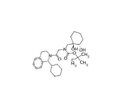 CC(C)(C)OC(=O)N(CC(=O)N1CCc2ccccc2C1C1CCCCC1)C[C@]1(O)CCCC[C@@H]1O